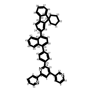 c1ccc(-c2cc(-c3cccnc3)cc(-c3ccc(-c4ccc(-c5ccc6c(c5)C5(CCCCC5)c5ccccc5-6)c5ccccc45)cc3)n2)nc1